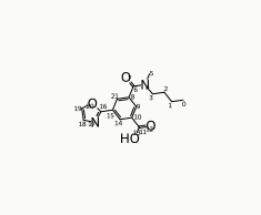 CCCCN(C)C(=O)c1cc(C(=O)O)cc(-c2ncco2)c1